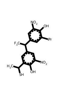 CC(C)c1cc(C(c2cc(C(C)S)c(O)c([N+](=O)[O-])c2)C(F)(F)F)cc([N+](=O)[O-])c1O